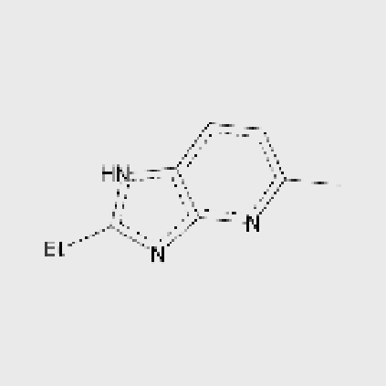 CCc1nc2nc(C)ccc2[nH]1